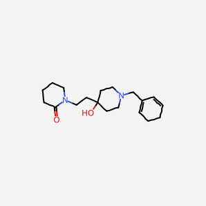 O=C1CCCCN1CCC1(O)CCN(CC2=CCCC=C2)CC1